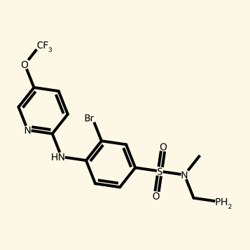 CN(CP)S(=O)(=O)c1ccc(Nc2ccc(OC(F)(F)F)cn2)c(Br)c1